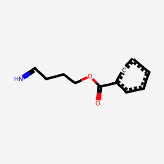 N=CCCCOC(=O)c1ccccc1